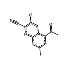 CC(=O)c1cc(C)cc2nc(C#N)c(Cl)cc12